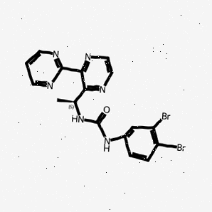 C[C@H](NC(=O)Nc1ccc(Br)c(Br)c1)c1nccnc1-c1ncccn1